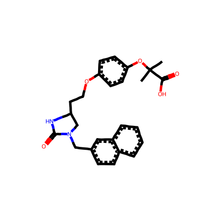 CC(C)(Oc1ccc(OCCC2CN(Cc3ccc4ccccc4c3)C(=O)N2)cc1)C(=O)O